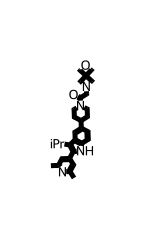 Cc1cc(-c2[nH]c3ccc(C4CCN(C(=O)CN5CC6(COC6)C5)CC4)cc3c2C(C)C)cc(C)n1